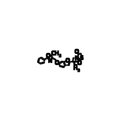 Cc1oc(-c2ccccc2)nc1COc1ccc2cc(C(C)CN3C(=O)CSC3=O)oc2c1